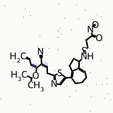 C=C/C=C(OC(C)C)\C(C#N)=C/Cc1ncc(C2=C3CCC(NSCCC(=O)N=O)C3=CCCC2)s1